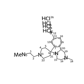 CNCCN1CCC(c2cccc(F)c2)(N2CCN(C)CC2)CC1.Cl.Cl.Cl.Cl